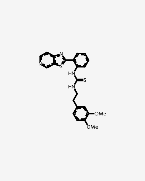 COc1ccc(CCNC(=S)Nc2ccccc2-c2nc3ccncc3s2)cc1OC